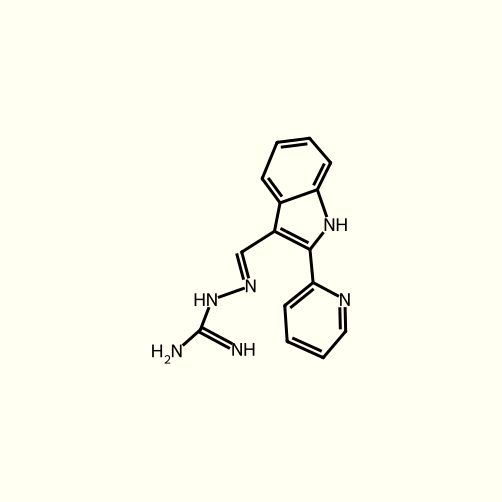 N=C(N)NN=Cc1c(-c2ccccn2)[nH]c2ccccc12